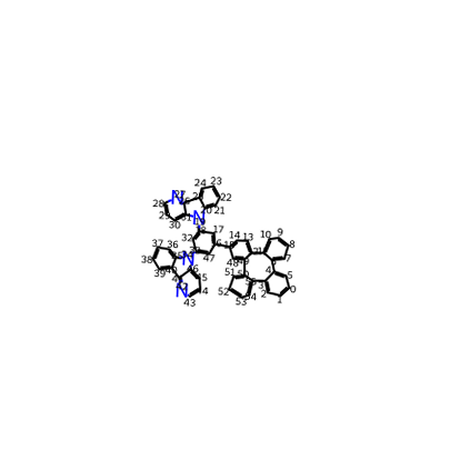 c1ccc2c(c1)-c1ccccc1-c1ccc(-c3cc(-n4c5ccccc5c5ncccc54)cc(-n4c5ccccc5c5ncccc54)c3)cc1-c1ccccc1-2